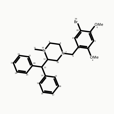 COc1cc(OC)c(CN2CCN(C)C(C(c3ccccc3)c3ccccc3)C2)cc1Br